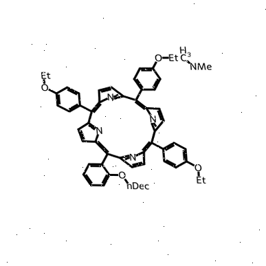 CCCCCCCCCCOc1ccccc1C1=C2C=CC(=N2)C(c2ccc(OCC)cc2)=C2C=CC(=N2)C(c2ccc(OCC)cc2)=C2C=CC(=N2)C(c2ccc(OCC)cc2)=C2C=CC1=N2.CNC